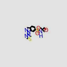 CC1(NS(=O)(=O)c2ccc3cnn(N4CSC=N4)c3c2)COC1